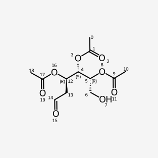 CC(=O)O[C@H]([C@@H](CO)OC(C)=O)[C@@H](CC=O)OC(C)=O